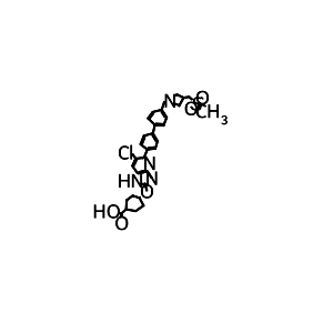 CS(=O)(=O)CC1CN(Cc2ccc(-c3ccc(-c4nc5nc(OC6CCC(C(=O)O)CC6)[nH]c5cc4Cl)cc3)cc2)C1